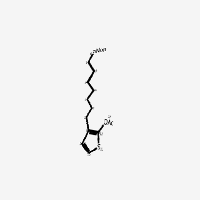 CCCCCCCCCCCCCCCCc1ccsc1OC(C)=O